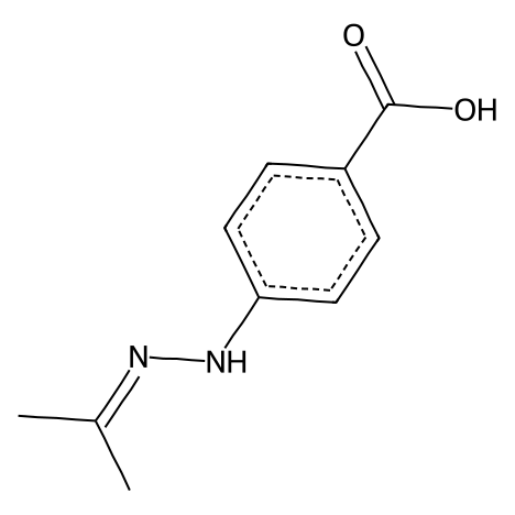 CC(C)=NNc1ccc(C(=O)O)cc1